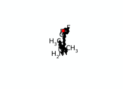 CCCc1nc2c(N)ncc(C)c2n1CCCCC[S+]([O-])c1ccc(F)cc1F